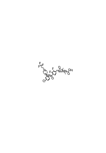 CC(CC(C)C(=O)NCc1ccc(C(=O)Nc2ccc(Cl)cc2N2CCN(CCC(F)(F)F)CC2)c(F)c1F)NC(=O)O